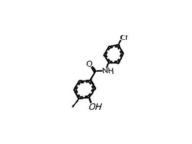 Cc1ccc(C(=O)Nc2ccc(Cl)cc2)cc1O